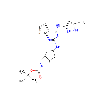 Cc1cc(Nc2nc(NC3CC4CN(C(=O)OC(C)(C)C)CC4C3)nc3sccc23)n[nH]1